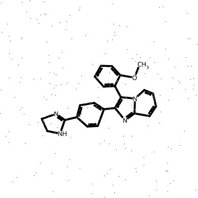 COc1ccccc1-c1c(-c2ccc(C3=NCCN3)cc2)nc2ccccn12